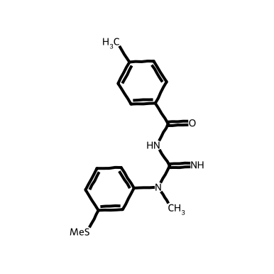 CSc1cccc(N(C)C(=N)NC(=O)c2ccc(C)cc2)c1